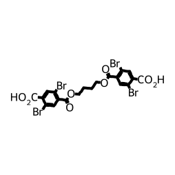 O=C(O)c1cc(Br)c(C(=O)OCCCCOC(=O)c2cc(Br)c(C(=O)O)cc2Br)cc1Br